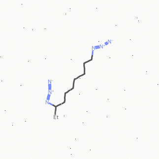 CCC(CCCCCCCN=[N+]=[N-])N=[N+]=[N-]